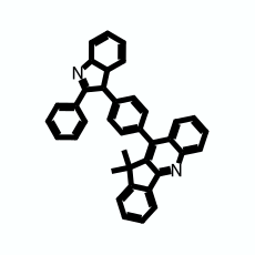 CC1(C)c2ccccc2-c2nc3ccccc3c(-c3ccc(C4C(c5ccccc5)=NC5C=CC=CC54)cc3)c21